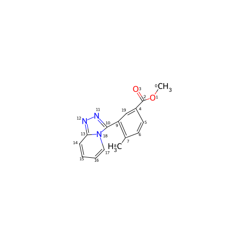 COC(=O)c1ccc(C)c(-c2nnc3ccccn23)c1